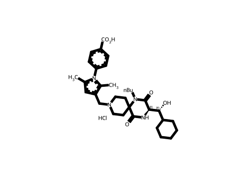 CCCCN1C(=O)[C@@H]([C@H](O)C2CCCCC2)NC(=O)C12CCN(Cc1cc(C)n(-c3ccc(C(=O)O)cc3)c1C)CC2.Cl